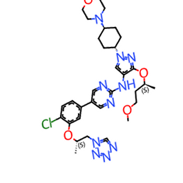 COCC[C@H](C)Oc1nn([C@H]2CC[C@H](N3CCOCC3)CC2)cc1Nc1ncc(-c2ccc(Cl)c(O[C@@H](C)Cn3cnnn3)c2)cn1